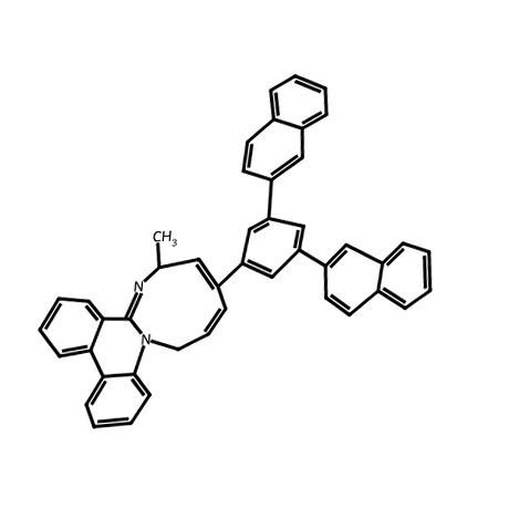 CC1/C=C(c2cc(-c3ccc4ccccc4c3)cc(-c3ccc4ccccc4c3)c2)\C=C/CN2/C(=N\1)c1ccccc1-c1ccccc12